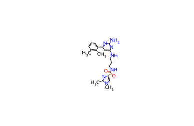 Cc1cccc(-c2cc(NCCCNS(=O)(=O)c3cn(C)c(C)n3)nc(N)n2)c1C